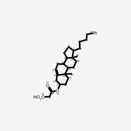 CC(C)CCCCC1CCC2C3CC=C4CC(OC(=O)CC(=O)O)CCC4(C)C3CCC12C